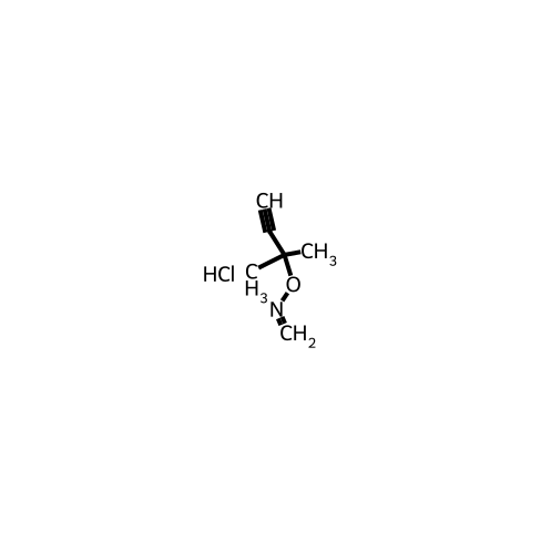 C#CC(C)(C)ON=C.Cl